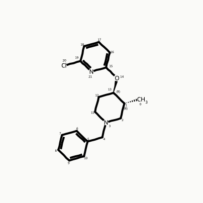 C[C@@H]1CN(Cc2ccccc2)CC[C@H]1Oc1cccc(Cl)n1